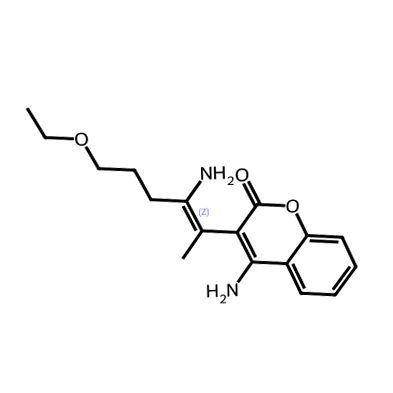 CCOCCC/C(N)=C(\C)c1c(N)c2ccccc2oc1=O